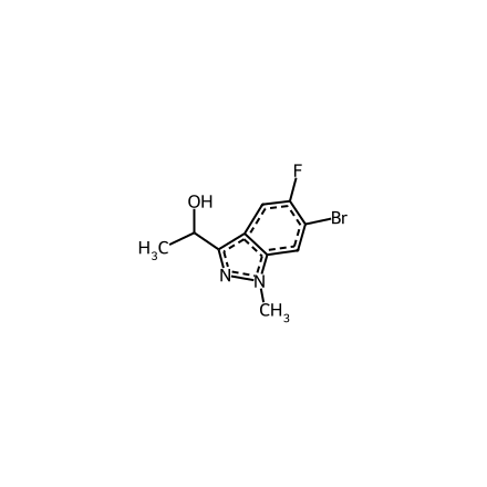 CC(O)c1nn(C)c2cc(Br)c(F)cc12